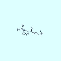 CCN(CC)[C@@H](CCC(=O)OCC[Si](C)(C)C)C(=O)O